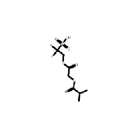 CC(C)C(=O)OCC(=O)OCC(F)(F)S(=O)(=O)O